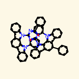 c1ccc(-c2nc(-n3c4ccccc4c4ccc5c6ccccc6n(-c6ccccc6)c5c43)nc(-n3c4ccccc4c4cc(-c5ccccc5)c5c6ccccc6n(-c6ccccc6)c5c43)n2)cc1